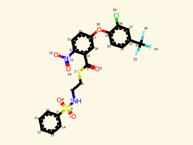 O=C(SCCNS(=O)(=O)c1ccccc1)c1cc(Oc2ccc(C(F)(F)F)cc2Cl)ccc1[N+](=O)[O-]